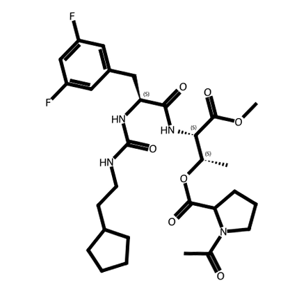 COC(=O)[C@@H](NC(=O)[C@H](Cc1cc(F)cc(F)c1)NC(=O)NCCC1CCCC1)[C@H](C)OC(=O)C1CCCN1C(C)=O